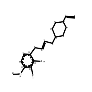 C=CC1CCC(CC=CCc2ccc(OC)c(F)c2F)CC1